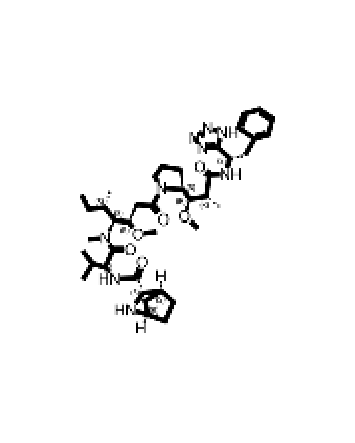 CC[C@H](C)[C@@H]([C@@H](CC(=O)N1CCC[C@H]1[C@H](OC)[C@@H](C)C(=O)N[C@@H](Cc1ccccc1)c1nnn[nH]1)OC)N(C)C(=O)[C@@H](NC(=O)[C@H]1N[C@@H]2CC[C@H]1C2)C(C)C